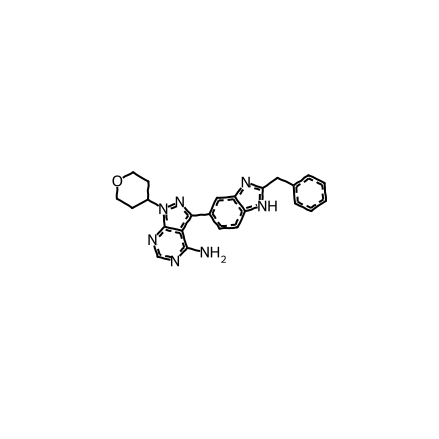 Nc1ncnc2c1c(-c1ccc3[nH]c(Cc4ccccc4)nc3c1)nn2C1CCOCC1